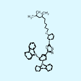 CC(C)CC(C)CCCCCOc1cccc(-c2nnc(-c3cc(-n4c5ccccc5c5ccccc54)cc(-n4c5ccccc5c5ccccc54)c3)o2)c1